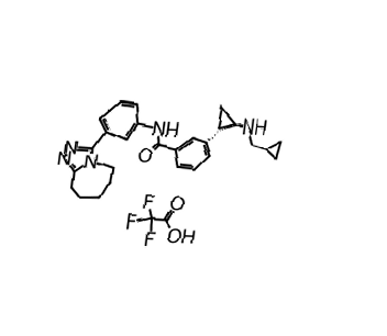 O=C(Nc1cccc(-c2nnc3n2CCCCC3)c1)c1cccc([C@@H]2C[C@H]2NCC2CC2)c1.O=C(O)C(F)(F)F